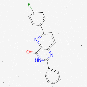 O=c1[nH]c(-c2ccccc2)nc2ccc(-c3ccc(F)cc3)nc12